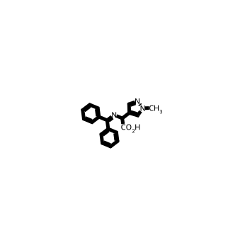 Cn1cc(C(N=C(c2ccccc2)c2ccccc2)C(=O)O)cn1